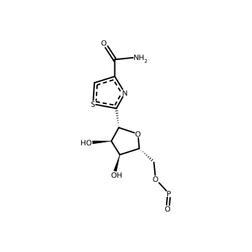 NC(=O)c1csc([C@@H]2O[C@H](COP=O)[C@@H](O)[C@H]2O)n1